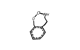 c1ccc2c(c1)CNOO2